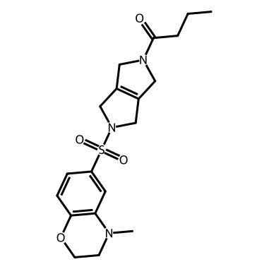 CCCC(=O)N1CC2=C(C1)CN(S(=O)(=O)c1ccc3c(c1)N(C)CCO3)C2